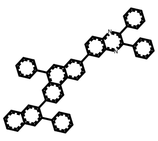 c1ccc(-c2cc3ccccc3cc2-c2ccc3c(c2)c(-c2ccccc2)cc2cc(-c4ccc5nc(-c6ccccc6)c(-c6ccccc6)nc5c4)ccc23)cc1